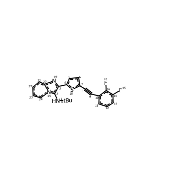 CC(C)(C)Nc1c(-c2ccc(C#Cc3cccc(F)c3F)s2)nc2ccccn12